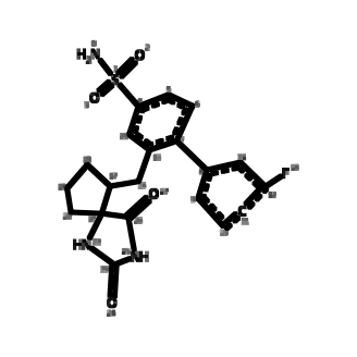 NS(=O)(=O)c1ccc(-c2cccc(F)c2)c(CC2CCCC23NC(=O)NC3=O)c1